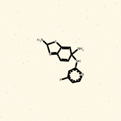 NC1N=C2C=CC(N)(Nc3cc(F)ccn3)C=C2S1